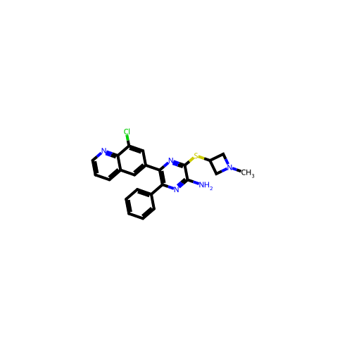 CN1CC(Sc2nc(-c3cc(Cl)c4ncccc4c3)c(-c3ccccc3)nc2N)C1